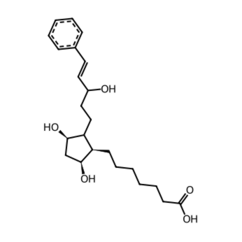 O=C(O)CCCCCC[C@@H]1C(CCC(O)C=Cc2ccccc2)[C@H](O)C[C@@H]1O